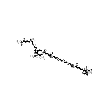 CNC(=O)/C=C/CN(C)CCOCCn1nnc2c1CCN(C(=O)CCCC(=O)NCCCOCCOCCOCCCNC(=O)CCCC[C@@H]1SC[C@@H]3NC(=O)N[C@@H]31)C[C@H](C)[C@H]2OC